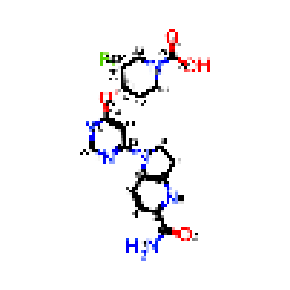 NC(=O)c1ccc2c(n1)CCN2c1cc(O[C@H]2CCN(C(=O)O)C[C@H]2F)ncn1